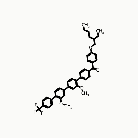 CCCCC(CC)COc1ccc(C(=O)c2ccc(-c3ccc(-c4ccc(-c5ccc(C(F)(F)F)cc5)c(OC)c4)cc3OC)cc2)cc1